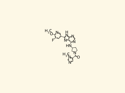 COc1ncc(-c2nc3c(NC4CCN(C(=O)c5cncn5C)C4)ncnc3[nH]2)cc1F